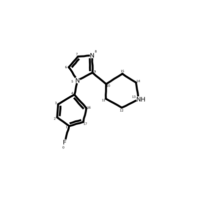 Fc1ccc(-n2ccnc2C2CCNCC2)cc1